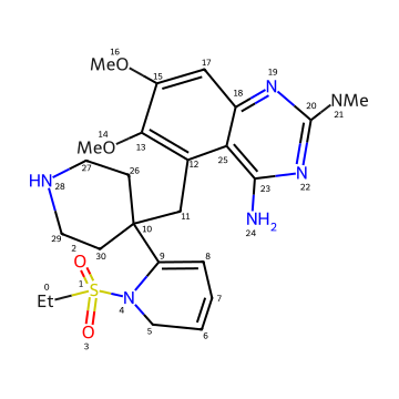 CCS(=O)(=O)N1CC=CC=C1C1(Cc2c(OC)c(OC)cc3nc(NC)nc(N)c23)CCNCC1